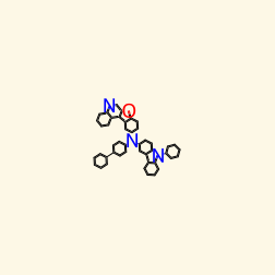 c1ccc(-c2ccc(N(c3ccc4oc5cnc6ccccc6c5c4c3)c3ccc4c(c3)c3ccccc3n4-c3ccccc3)cc2)cc1